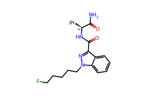 CC(C)[C@H](NC(=O)c1nn(CCCCCF)c2ccccc12)C(N)=O